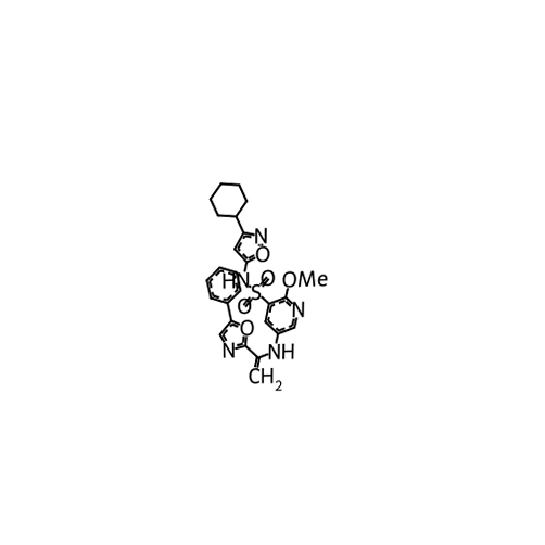 C=C(Nc1cnc(OC)c(S(=O)(=O)Nc2cc(C3CCCCC3)no2)c1)c1ncc(-c2ccccc2)o1